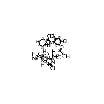 C#CCOc1cc(-n2nc3n(c2=O)CCCC3)c(Cl)cc1Cl.CCNc1nc(Cl)nc(NC(C)(C)C#N)n1